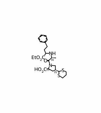 CCOC(=O)C(CCc1ccccc1)N[C@@H](C)C(=O)N1C[C@@H](C2SCCCS2)C[C@H]1C(=O)O